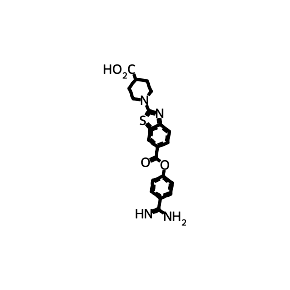 N=C(N)c1ccc(OC(=O)c2ccc3nc(N4CCC(C(=O)O)CC4)sc3c2)cc1